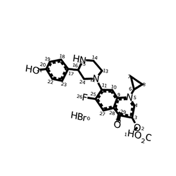 Br.O=C(O)Oc1cn(C2CC2)c2cc(N3CCNC(c4ccc(O)cc4)C3)c(F)cc2c1=O